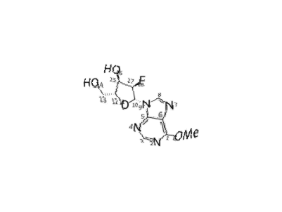 COc1ncnc2c1ncn2[C@@H]1O[C@H](CO)[C@@H](O)[C@H]1F